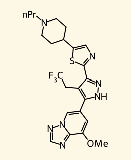 CCCN1CCC(c2cnc(-c3n[nH]c(-c4cc(OC)c5ncnn5c4)c3CC(F)(F)F)s2)CC1